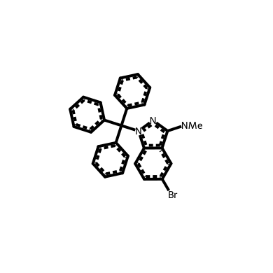 CNc1nn(C(c2ccccc2)(c2ccccc2)c2ccccc2)c2ccc(Br)cc12